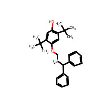 CC(C)(C)c1cc(OC[SiH2]C(c2ccccc2)c2ccccc2)c(C(C)(C)C)cc1O